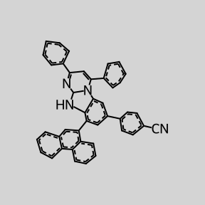 N#Cc1ccc(-c2cc(-c3cc4ccccc4c4ccccc34)c3c(c2)N2C(c4ccccc4)=CC(c4ccccc4)=NC2N3)cc1